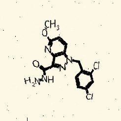 COc1ccc2c(n1)c(C(=O)NN)nn2Cc1ccc(Cl)cc1Cl